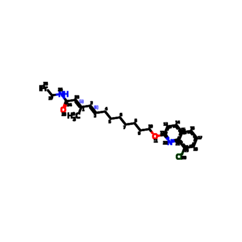 CC(/C=C/CCCCCCCOc1ccc2cccc(Cl)c2n1)=C\C(=O)NCC(C)C